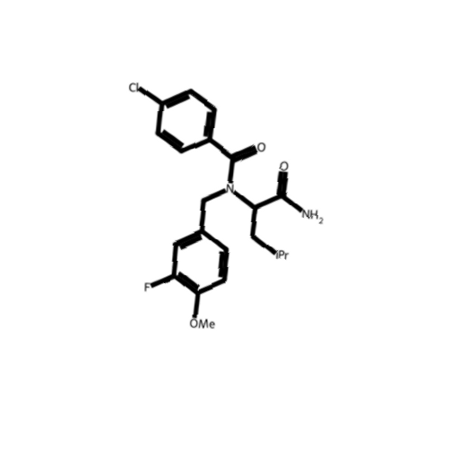 COc1ccc(CN(C(=O)c2ccc(Cl)cc2)C(CC(C)C)C(N)=O)cc1F